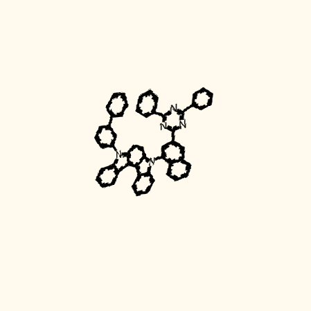 c1ccc(-c2cccc(-n3c4ccccc4c4c5c6ccccc6n(-c6cc(-c7nc(-c8ccccc8)nc(-c8ccccc8)n7)cc7ccccc67)c5ccc43)c2)cc1